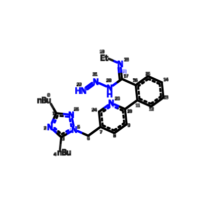 CCCCc1nc(CCCC)n(Cc2ccc(-c3ccccc3/C(=N/CC)NN=N)nc2)n1